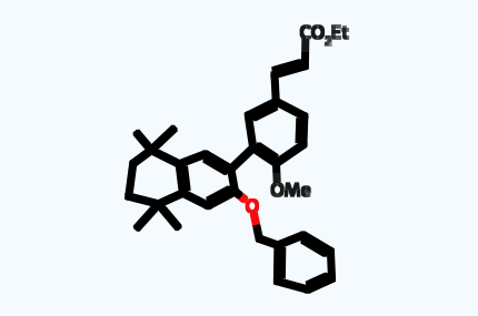 CCOC(=O)/C=C/c1ccc(OC)c(-c2cc3c(cc2OCc2ccccc2)C(C)(C)CCC3(C)C)c1